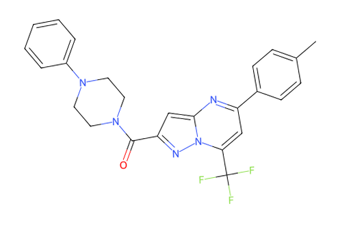 Cc1ccc(-c2cc(C(F)(F)F)n3nc(C(=O)N4CCN(c5ccccc5)CC4)cc3n2)cc1